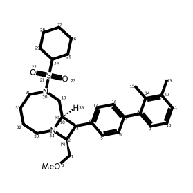 COC[C@@H]1C(c2ccc(-c3cccc(C)c3C)cc2)[C@@H]2CN(S(=O)(=O)C3CCCCC3)CCCCN12